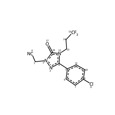 N#CCn1nc(-c2ccc(Cl)cc2)n(CCC(F)(F)F)c1=O